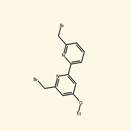 CCOc1cc(CBr)nc(-c2cccc(CBr)n2)c1